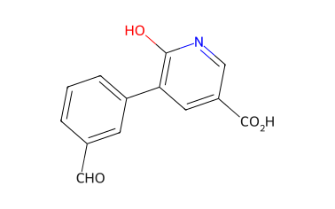 O=Cc1cccc(-c2cc(C(=O)O)cnc2O)c1